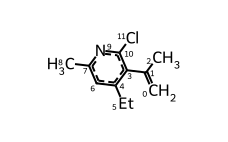 C=C(C)c1c(CC)cc(C)nc1Cl